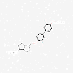 CCCCCCOc1ccc(-c2ccc(OCC3CCC4C(CCCCC)CCC34)c(F)c2F)c(F)c1F